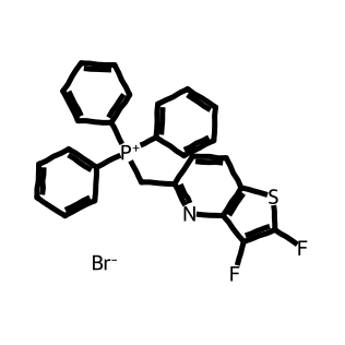 Fc1sc2ccc(C[P+](c3ccccc3)(c3ccccc3)c3ccccc3)nc2c1F.[Br-]